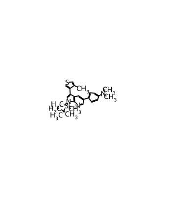 Cc1cscc1-c1cn([Si](C)(C)C(C)(C)C)c2ncc(-c3ccc(N(C)C)cc3)cc12